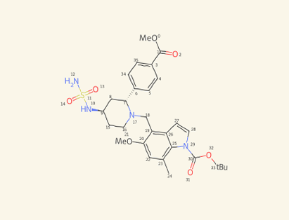 COC(=O)c1ccc([C@H]2C[C@H](NS(N)(=O)=O)CCN2Cc2c(OC)cc(C)c3c2ccn3C(=O)OC(C)(C)C)cc1